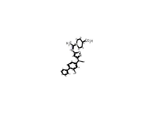 CC(c1ccc(-c2ccccc2)c(F)c1)c1cc(/N=C(/N)N2CCC(C(=O)O)CC2)on1